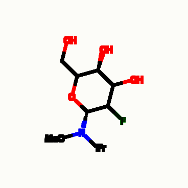 CON(C(C)C)[C@@H]1OC(CO)[C@@H](O)C(O)C1F